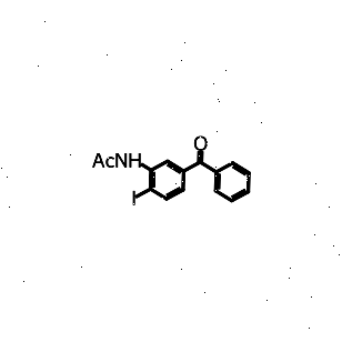 CC(=O)Nc1cc(C(=O)c2ccccc2)ccc1I